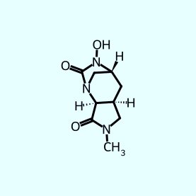 CN1C[C@@H]2C[C@@H]3CN(C(=O)N3O)[C@@H]2C1=O